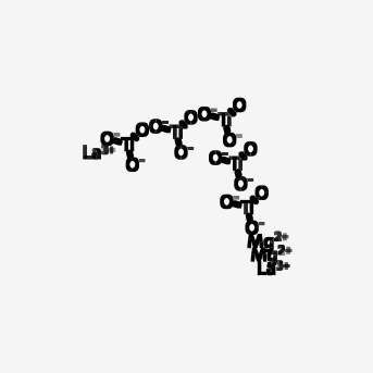 [La+3].[La+3].[Mg+2].[Mg+2].[O]=[Ti]([O-])[O-].[O]=[Ti]([O-])[O-].[O]=[Ti]([O-])[O-].[O]=[Ti]([O-])[O-].[O]=[Ti]([O-])[O-]